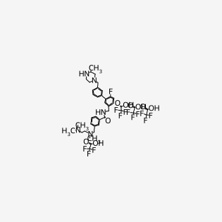 C[C@H]1CN(Cc2cccc(-c3cc(CNC(=O)c4cccc(CN(C)CCN(C)C)c4)ccc3F)c2)CCN1.O=C(O)C(F)(F)F.O=C(O)C(F)(F)F.O=C(O)C(F)(F)F.O=C(O)C(F)(F)F